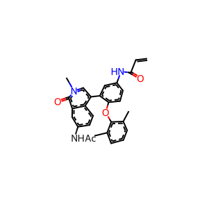 C=CC(=O)Nc1ccc(Oc2c(C)cccc2C)c(-c2cn(C)c(=O)c3cc(NC(C)=O)ccc23)c1